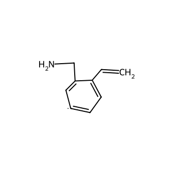 C=Cc1cc[c]cc1CN